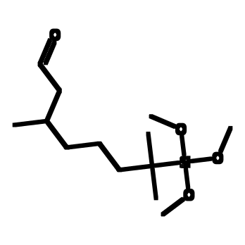 CO[Si](OC)(OC)C(C)(C)CCCC(C)CC=O